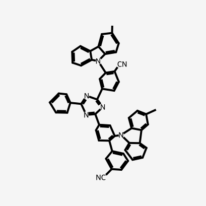 Cc1ccc2c(c1)c1ccccc1n2-c1cc(-c2nc(-c3ccccc3)nc(-c3ccc(-c4cccc(C#N)c4)c(-n4c5ccccc5c5cc(C)ccc54)c3)n2)ccc1C#N